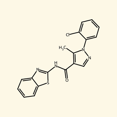 Cc1c(C(=O)Nc2nc3ccccc3s2)cnn1-c1ccccc1Cl